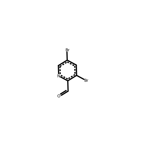 O=Cc1ncc(Br)cc1Br